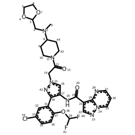 CN(CC1OCCO1)C1CCN(C(=O)Cn2cc(NC(=O)c3cnn4cccnc34)c(-c3cc(Cl)ccc3OC(F)F)n2)CC1